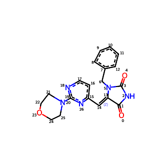 O=C1NC(=O)N(Cc2ccccc2)/C1=C\c1ccnc(N2CCOCC2)n1